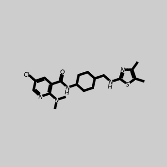 Cc1nc(NCC2CCC(NC(=O)c3cc(Cl)cnc3N(C)C)CC2)sc1C